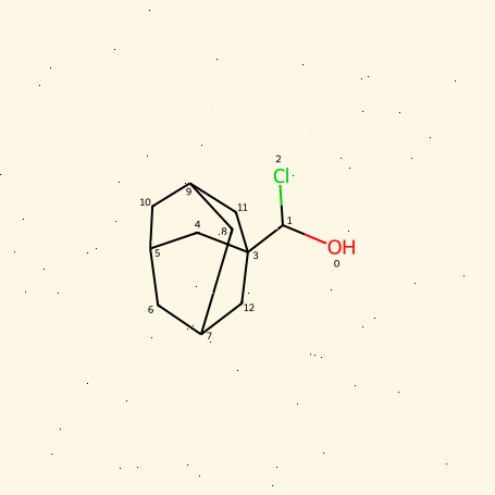 OC(Cl)C12CC3CC(CC(C3)C1)C2